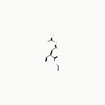 C=C/C(=C/C(Cl)=N\C(=N)Cl)C(=O)OCC